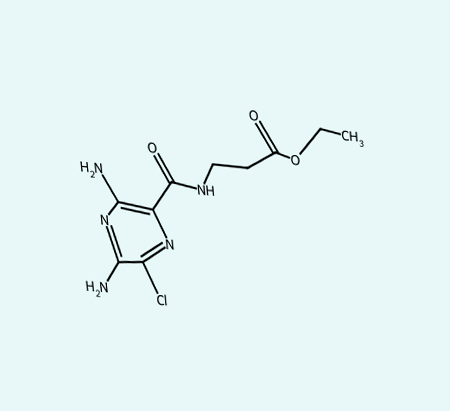 CCOC(=O)CCNC(=O)c1nc(Cl)c(N)nc1N